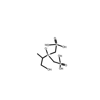 CC(CO)[N+]([O-])(CP(=O)(O)O)CP(=O)(O)O